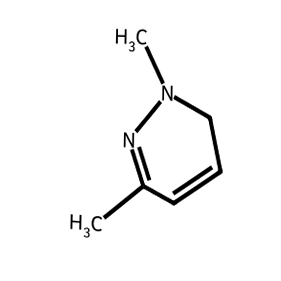 CC1=NN(C)CC=C1